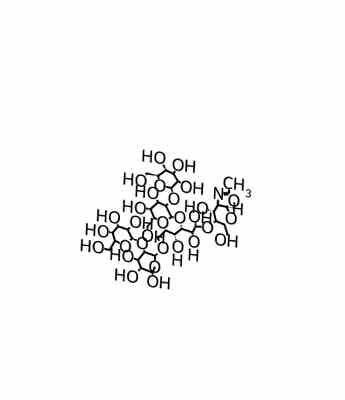 CC1=NC2[C@@H](O1)OC(CO)[C@@H](O[C@H](O)C(O)[C@@H](O[C@H]1O[C@@H](CO)[C@@H](O)C(O)C1O[C@H]1O[C@@H](CO)[C@@H](O)C(O)C1O)[C@H](O)CCO[C@H]1OC(O)[C@@H](O)C(O)[C@H]1O[C@H]1OC(CO)[C@@H](O)[C@H](O)C1O)[C@@H]2O